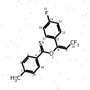 Cc1ccc(C(=S)OC(=CC(F)(F)F)c2ccc(F)cc2)cc1